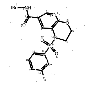 CC(C)(C)NC(=O)c1cnc2c(c1)N(S(=O)(=O)c1cccc(F)c1)CCO2